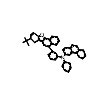 CC(C)(C)C1C=Cc2oc3c(cc(-c4cccc(N(c5ccccc5)c5ccc6ccc7ccccc7c6c5)c4)c4ccccc43)c2C1